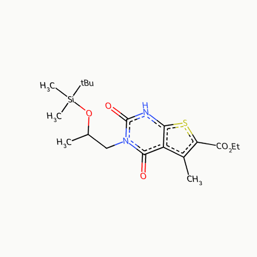 CCOC(=O)c1sc2[nH]c(=O)n(CC(C)O[Si](C)(C)C(C)(C)C)c(=O)c2c1C